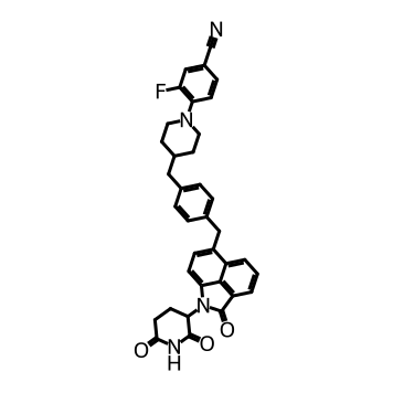 N#Cc1ccc(N2CCC(Cc3ccc(Cc4ccc5c6c(cccc46)C(=O)N5C4CCC(=O)NC4=O)cc3)CC2)c(F)c1